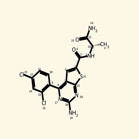 C[C@H](NC(=O)c1cc2c(-c3ccc(Cl)cc3Cl)nc(N)nc2s1)C(N)=O